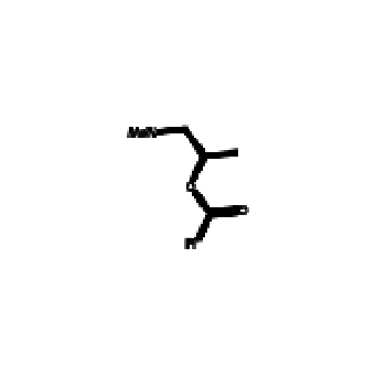 CNCC(C)OC(=O)C(C)C